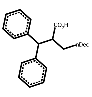 CCCCCCCCCCCC(C(=O)O)C(c1ccccc1)c1ccccc1